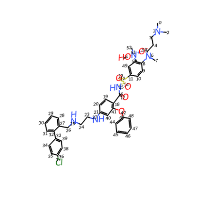 CN(C)CCCN(C)c1ccc(S(=O)(=O)NC(=O)c2ccc(NCCNCc3ccccc3-c3ccc(Cl)cc3)cc2Oc2ccccc2)cc1[N+](C)([O-])O